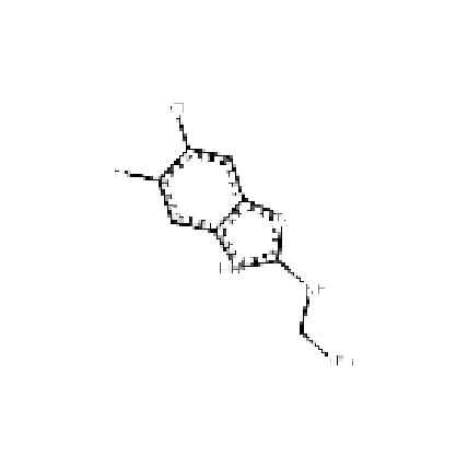 CC(C)(C)CNc1nc2cc(Cl)c(F)cc2[nH]1